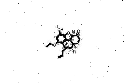 C=CC[N@@+]1(C)CC[C@]23c4c5c(OCC)cc(O)c4O[C@H]2C(=O)CC[C@H]3[C@H]1C5.[I-]